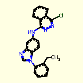 CCc1ccccc1-n1cnc2cc(Nc3nnc(Cl)c4ccccc34)ccc21